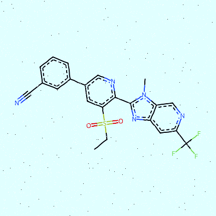 CCS(=O)(=O)c1cc(-c2cccc(C#N)c2)cnc1-c1nc2cc(C(F)(F)F)ncc2n1C